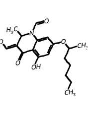 CCCCCC(C)Oc1cc(O)c2c(c1)N(C=O)C(C)C(=CO)C2=O